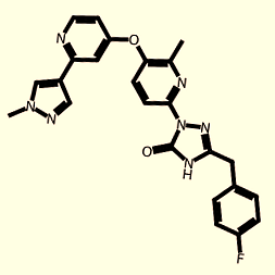 Cc1nc(-n2nc(Cc3ccc(F)cc3)[nH]c2=O)ccc1Oc1ccnc(-c2cnn(C)c2)c1